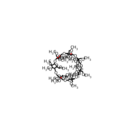 COCC1OC2OC3C(COC)OC(OC4C(COC)OC(OC5C(COC)OC(OC6C(COC)OC(OC7C(COC)OC(OC8C(COC)OC(OC1C(OC)C2OC)C(OC)C8OC)C(OC)C7OC)C(OOC)C6OC)C(OC)C5OC)C(OC)C4OC)C(OC)C3OC